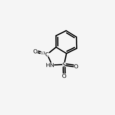 O=[13C]1NS(=O)(=O)c2ccccc21